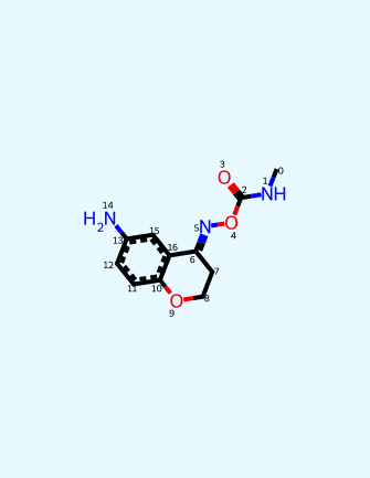 CNC(=O)ON=C1CCOc2ccc(N)cc21